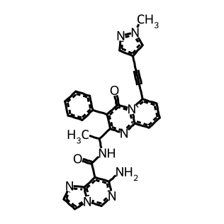 CC(NC(=O)c1c(N)ncn2ccnc12)c1nc2cccc(C#Cc3cnn(C)c3)n2c(=O)c1-c1ccccc1